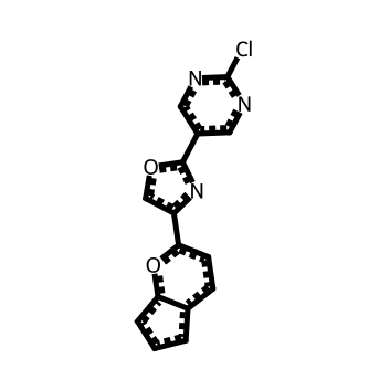 Clc1ncc(-c2nc(-c3ccc4cccc-4o3)co2)cn1